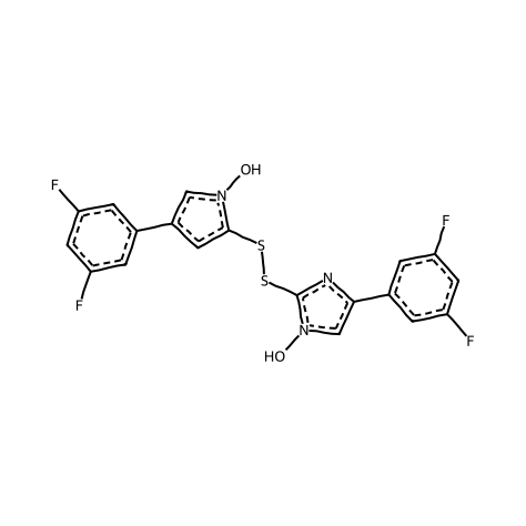 On1cc(-c2cc(F)cc(F)c2)cc1SSc1nc(-c2cc(F)cc(F)c2)cn1O